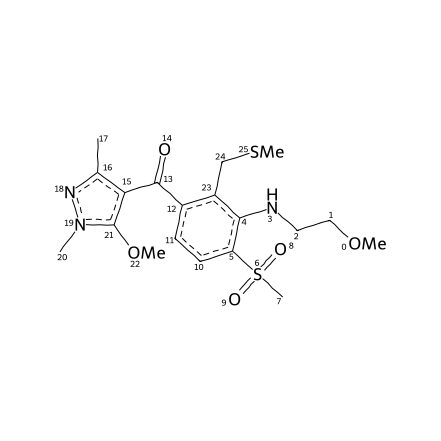 COCCNc1c(S(C)(=O)=O)ccc(C(=O)c2c(C)nn(C)c2OC)c1CSC